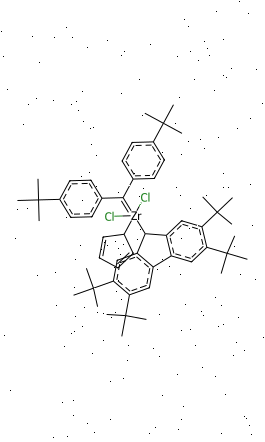 CC(C)(C)c1ccc([C](c2ccc(C(C)(C)C)cc2)=[Zr]([Cl])([Cl])([CH]2C=CC=C2)[CH]2c3cc(C(C)(C)C)c(C(C)(C)C)cc3-c3cc(C(C)(C)C)c(C(C)(C)C)cc32)cc1